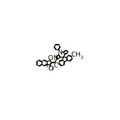 Cc1ccc2c(c1)C1(c3cc(C)ccc3-2)c2ccccc2N(c2ccccc2)c2cnc(C=C3C(=O)c4cc5ccccc5cc4C3=O)cc21